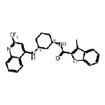 Cc1c(C(=O)N[C@@H]2CCC[C@H](Nc3cc(C(F)(F)F)nc4ccccc34)C2)oc2ccccc12